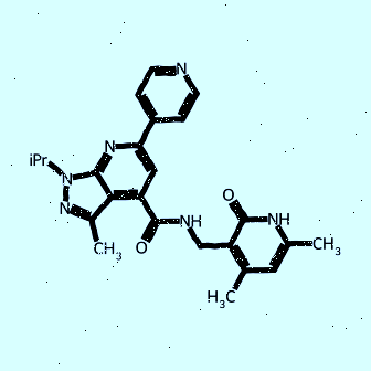 Cc1cc(C)c(CNC(=O)c2cc(-c3ccncc3)nc3c2c(C)nn3C(C)C)c(=O)[nH]1